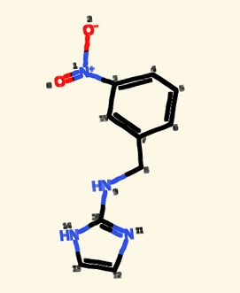 O=[N+]([O-])c1cccc(CNc2ncc[nH]2)c1